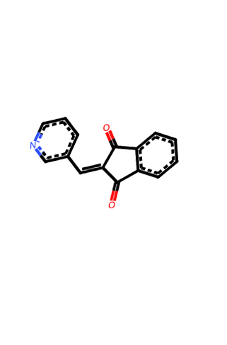 O=C1C(=Cc2cccnc2)C(=O)c2ccccc21